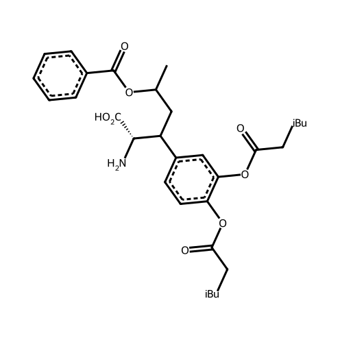 CCC(C)CC(=O)Oc1ccc(C(CC(C)OC(=O)c2ccccc2)[C@H](N)C(=O)O)cc1OC(=O)CC(C)CC